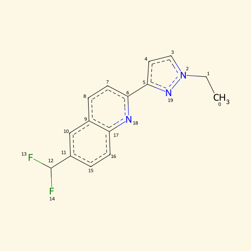 CCn1ccc(-c2ccc3cc(C(F)F)ccc3n2)n1